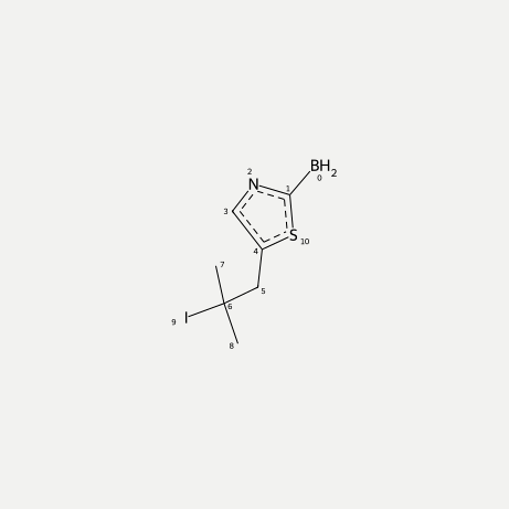 Bc1ncc(CC(C)(C)I)s1